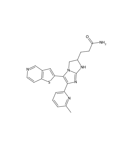 Cc1cccc(-c2nc3n(c2-c2cc4cnccc4s2)CC(CCC(N)=O)N3)n1